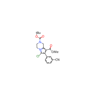 COC(=O)c1c(-c2cccc(C#N)c2)c(Cl)n2c1CN(C(=O)OC(C)(C)C)CC2